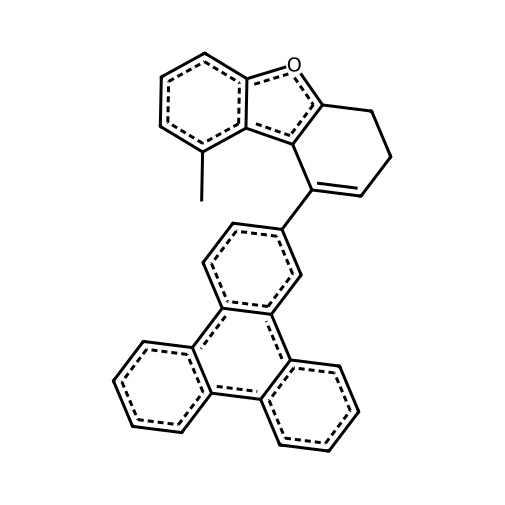 Cc1cccc2oc3c(c12)C(c1ccc2c4ccccc4c4ccccc4c2c1)=CCC3